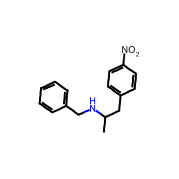 CC(Cc1ccc([N+](=O)[O-])cc1)NCc1ccccc1